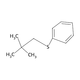 CC(C)(C)CSc1ccccc1